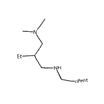 CCCCCCNCC(CC)CN(C)C